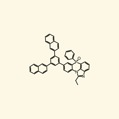 CCc1nc2cccc3c2n1-c1ccc(-c2cc(-c4ccc5ccccc5c4)cc(-c4ccc5ccccc5c4)c2)cc1P3(=O)c1ccccc1